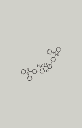 CC1(C)c2cc(-c3ccc(-c4nc5ccccc5n4-c4ccccc4)cc3)ccc2Oc2ccc(-c3ccc(-c4nc5ccccc5n4-c4ccccc4)cc3)cc21